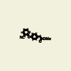 COC(=O)Cc1ccc(Oc2ncccc2C#N)cc1